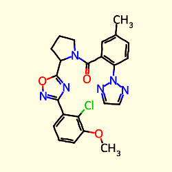 COc1cccc(-c2noc(C3CCCN3C(=O)c3cc(C)ccc3-n3nccn3)n2)c1Cl